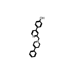 Oc1ccc(-c2ccnc(CN3CC=C(c4ccccc4)CC3)c2)cc1